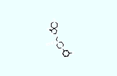 Cl.Cl.O=C1O[C@@H](CCN2CCN(c3cccc(Cl)c3)CC2)CC12CCNCC2